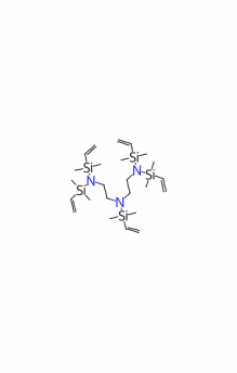 C=C[Si](C)(C)N(CCN([Si](C)(C)C=C)[Si](C)(C)C=C)CCN([Si](C)(C)C=C)[Si](C)(C)C=C